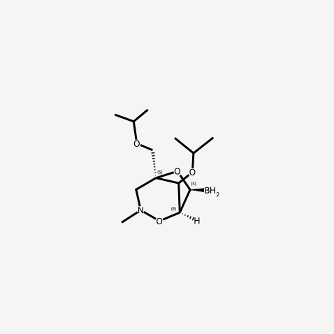 B[C@@H]1O[C@]2(COC(C)C)CN(C)O[C@H]1C2OC(C)C